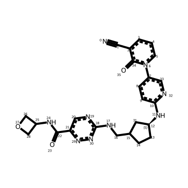 N#Cc1cccn(-c2ccc(N[C@H]3CCC(CNc4ncc(C(=O)NC5COC5)nn4)C3)nc2)c1=O